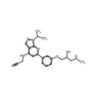 CNCC(O)COc1cccc(-c2cc(NCC#N)c3cnn(C(C)C)c3n2)c1